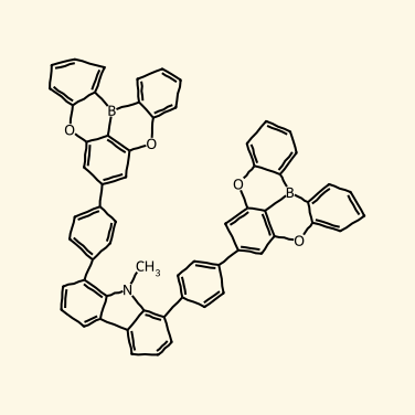 Cn1c2c(-c3ccc(-c4cc5c6c(c4)Oc4ccccc4B6c4ccccc4O5)cc3)cccc2c2cccc(-c3ccc(-c4cc5c6c(c4)Oc4ccccc4B6c4ccccc4O5)cc3)c21